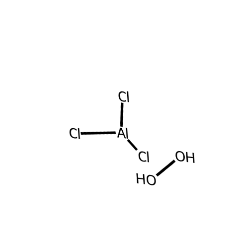 OO.[Cl][Al]([Cl])[Cl]